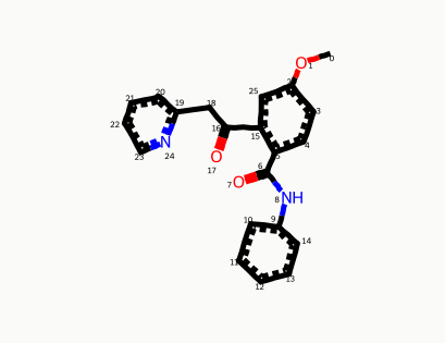 COc1ccc(C(=O)Nc2ccccc2)c(C(=O)Cc2ccccn2)c1